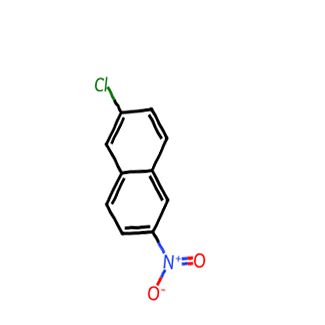 O=[N+]([O-])c1ccc2cc(Cl)ccc2c1